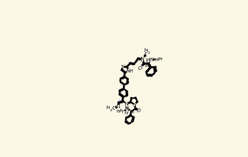 C=N/C=C(\NC1CCCN1C(=O)[C@H](NCCC)c1ccccc1)c1ccc(-c2ccc(-c3cnc(CCCN(C)C(=O)[C@H](NCCC)c4ccccc4)[nH]3)cc2)cc1